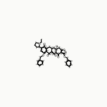 CCN1CCCC1c1cc(OCc2ccccc2)c2c(c1Cl)CC1C[C@H]3Cc4onc(OCc5ccccc5)c4C(=O)[C@]34OC4=C1C2=O